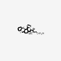 O=C(O)CNC(=O)c1c(O)c2ccc(Cl)c(Oc3ccccc3)c2c2ncnn12